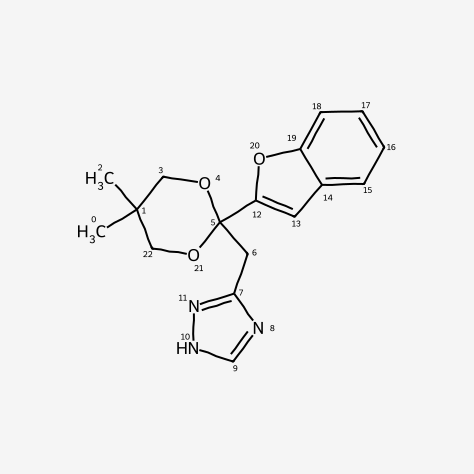 CC1(C)COC(Cc2nc[nH]n2)(c2cc3ccccc3o2)OC1